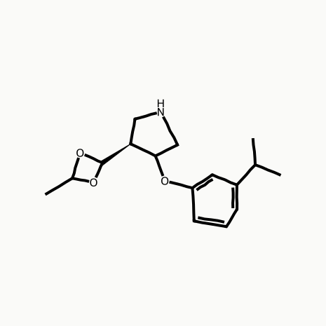 CC1OC([C@H]2CNCC2Oc2cccc(C(C)C)c2)O1